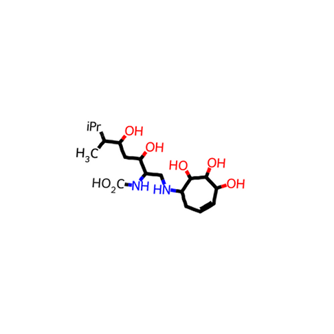 CC(C)C(C)C(O)CC(O)C(CNC1CC=CC(O)C(O)C1O)NC(=O)O